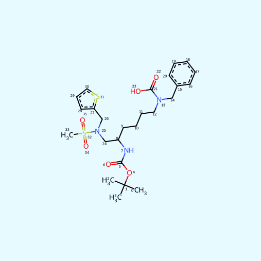 CC(C)(C)OC(=O)NC(CCCCN(Cc1ccccc1)C(=O)O)CN(Cc1cccs1)S(C)(=O)=O